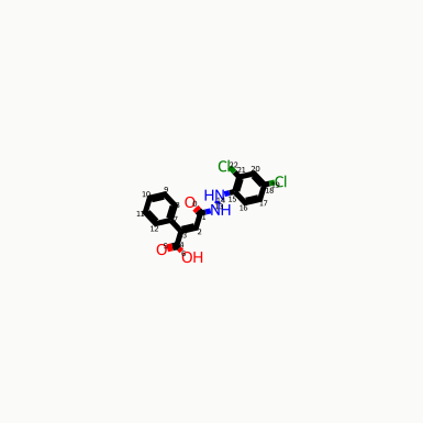 O=C(/C=C(/C(=O)O)c1ccccc1)NNc1ccc(Cl)cc1Cl